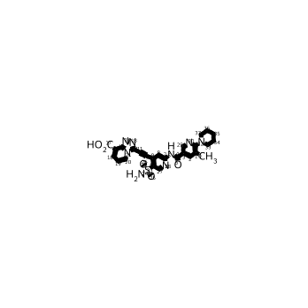 Cc1cc(C(=O)Nc2cc(C#Cc3nnc4c(C(=O)O)cccn34)c(S(N)(=O)=O)cn2)cnc1N1CCCCC1